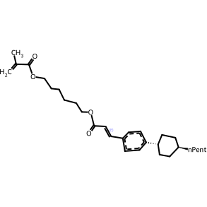 C=C(C)C(=O)OCCCCCCOC(=O)/C=C/c1ccc([C@H]2CC[C@H](CCCCC)CC2)cc1